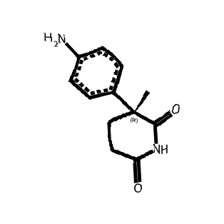 C[C@]1(c2ccc(N)cc2)CCC(=O)NC1=O